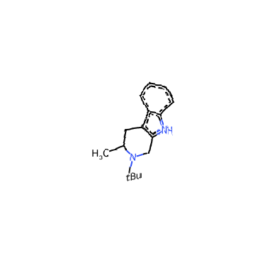 CC1Cc2c([nH]c3ccccc23)CN1C(C)(C)C